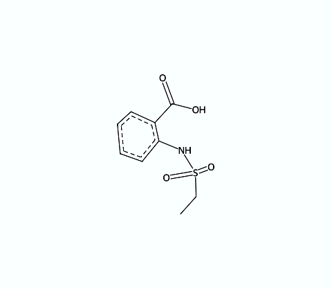 CCS(=O)(=O)Nc1ccccc1C(=O)O